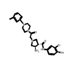 Cc1cccc(N2CCN(C(=O)CN3C[C@H](C(=O)Nc4ccc(O)c(Cl)c4)[C@@H](N)C3)CC2)c1